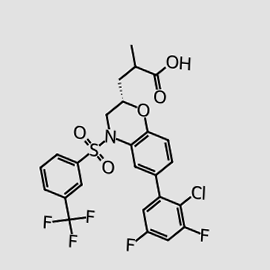 CC(C[C@H]1CN(S(=O)(=O)c2cccc(C(F)(F)F)c2)c2cc(-c3cc(F)cc(F)c3Cl)ccc2O1)C(=O)O